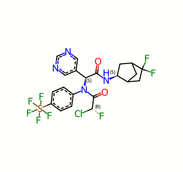 O=C(N[C@H]1CC2CC1CC2(F)F)[C@H](c1cncnc1)N(C(=O)[C@H](F)Cl)c1ccc(S(F)(F)(F)(F)F)cc1